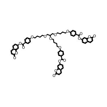 O=C(Oc1ccc2ccc(=O)oc2c1)c1ccc(OCCCCOCC(COCCCCOc2ccc(C(=O)Oc3ccc4ccc(=O)oc4c3)cc2)OCCCCOc2ccc(C(=O)Oc3ccc4ccc(=O)oc4c3)cc2)cc1